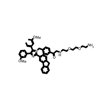 C/C=C(\C=C(/C)OC)c1c(-c2cccc(OC)c2)nc(-c2ccc3c(c2)-c2ccccc2C3)n1Cc1ccc(C(=O)CNCCOCCOCCN)cc1